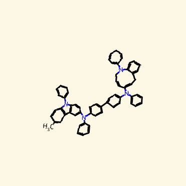 CC1C=Cc2c(c3cc(N(c4ccccc4)c4ccc(-c5ccc(N(C6=C/Cc7ccccc7N(C7=CC=CCC=C7)C/C=C\6)c6ccccc6)cc5)cc4)ccc3n2-c2ccccc2)C1